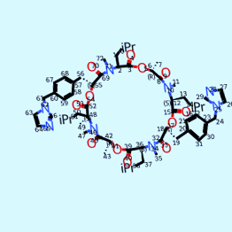 CC(C)CC1C(=O)O[C@H](C)C(=O)N(C)[C@@H](CC(C)C)C(=O)O[C@H](Cc2ccc(Cn3ccnc3)cc2)C(=O)N(C)[C@@H](CC(C)C)C(=O)O[C@H](C)C(=O)N(C)[C@@](C)(CC(C)C)C(=O)O[C@H](Cc2ccc(Cn3ccnc3)cc2)C(=O)N1C